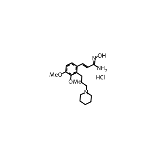 COc1ccc(C=CC(N)=NO)c(CCCN2CCCCC2)c1OC.Cl